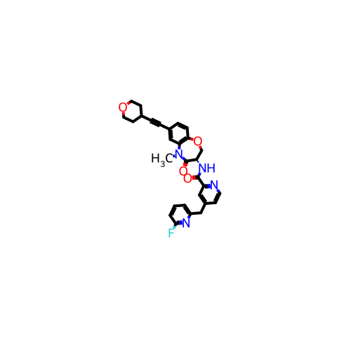 CN1C(=O)[C@@H](NC(=O)c2cc(Cc3cccc(F)n3)ccn2)COc2ccc(C#CC3CCOCC3)cc21